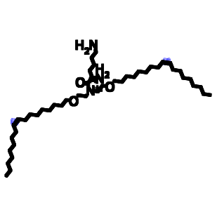 CCCCCCCC/C=C\CCCCCCCCOCC[N+](CCOCCCCCCCC/C=C\CCCCCCCC)C(=O)[C@@H](N)CCCCN